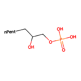 CCCCCCC(O)COP(=O)(O)O